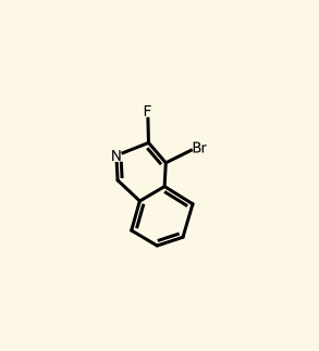 Fc1ncc2ccccc2c1Br